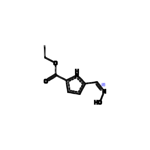 CCOC(=O)c1ccc(/C=N\O)[nH]1